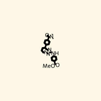 COC(=O)c1ccc(Nc2nc3c(-c4ccc(C(=O)N(C)C)cc4)cccn3n2)cc1